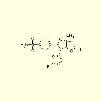 CCC1(C)OC(c2ccc(S(N)(=O)=O)cc2)=C(c2ccc(F)s2)C1=O